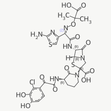 CC(C)(O/N=C(\C(=O)N[C@@H]1C(=O)N2C[C@@](C(=O)O)(N3CCC[C@@H](NC(=O)C(=O)c4ccc(O)c(O)c4Cl)C3=O)S[C@H]12)c1csc(N)n1)C(=O)O